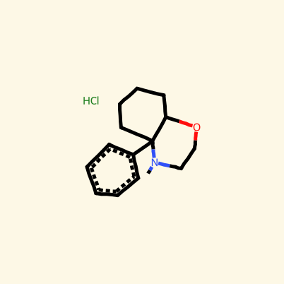 CN1CCOC2CCCCC21c1ccccc1.Cl